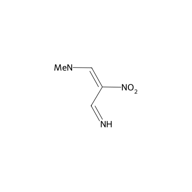 CN/C=C(\C=N)[N+](=O)[O-]